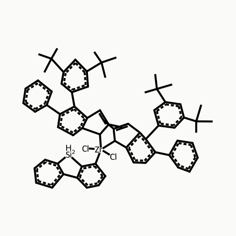 CC1=Cc2c(ccc(-c3ccccc3)c2-c2cc(C(C)(C)C)cc(C(C)(C)C)c2)[CH]1[Zr]([Cl])([Cl])([c]1cccc2c1[SiH2]c1ccccc1-2)[CH]1C(C)=Cc2c1ccc(-c1ccccc1)c2-c1cc(C(C)(C)C)cc(C(C)(C)C)c1